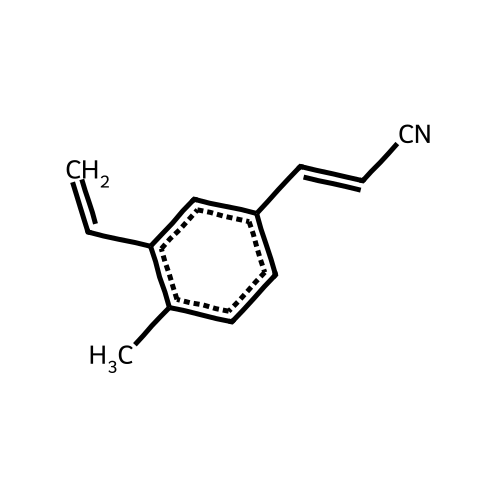 C=Cc1cc(C=CC#N)ccc1C